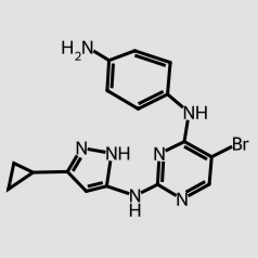 Nc1ccc(Nc2nc(Nc3cc(C4CC4)n[nH]3)ncc2Br)cc1